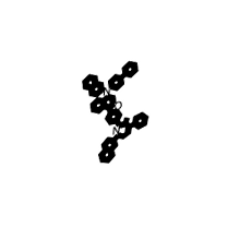 CC1=C(c2ccc3c(c2)oc2cc(N(c4ccc(-c5ccccc5)cc4)c4ccc5ccccc5c4)c4ccccc4c23)N=C(c2ccc3ccccc3c2)CC=C1c1ccccc1